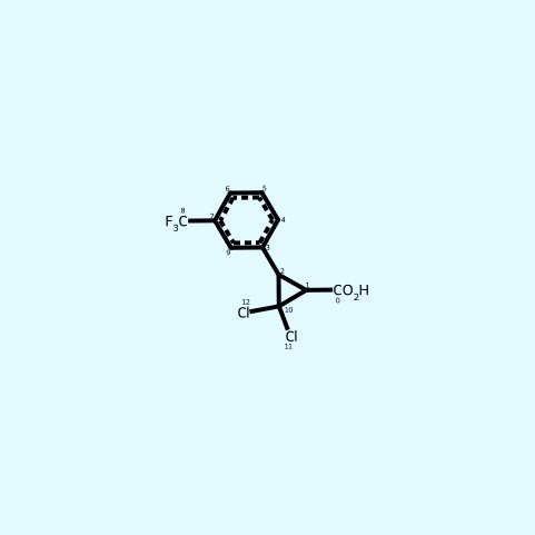 O=C(O)C1C(c2cccc(C(F)(F)F)c2)C1(Cl)Cl